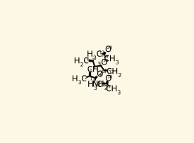 C=C(C)C(N)=O.C=CCC(=O)C=C.CC(C)=O.CC(C)=O